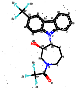 O=C(N1CCC[C@@H](n2c3ccccc3c3cc(C(F)(F)F)ccc32)[C@H](O)C1)C(F)(F)F